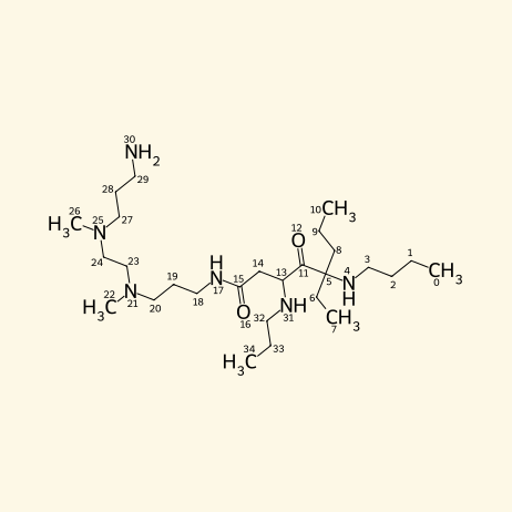 CCCCNC(CC)(CCC)C(=O)C(CC(=O)NCCCN(C)CCN(C)CCCN)NCCC